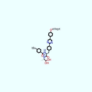 CCCCCCCOc1ccc(-c2cnc(-c3ccc(C[C@H](NC(=O)c4ccc(C(C)(C)C)cc4)C(=O)N[C@@H](C)C(O)O)cc3)nc2)cc1